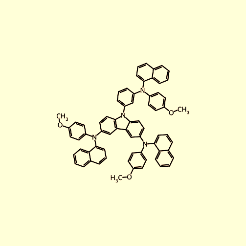 COc1ccc(N(c2cccc(-n3c4ccc(N(c5ccc(OC)cc5)c5cccc6ccccc56)cc4c4cc(N(c5ccc(OC)cc5)c5cccc6ccccc56)ccc43)c2)c2cccc3ccccc23)cc1